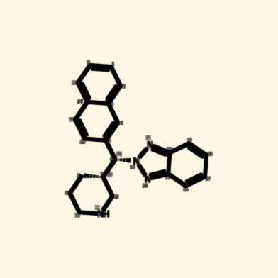 c1ccc2cc([C@@H]([C@H]3CCCNC3)n3nc4ccccc4n3)ccc2c1